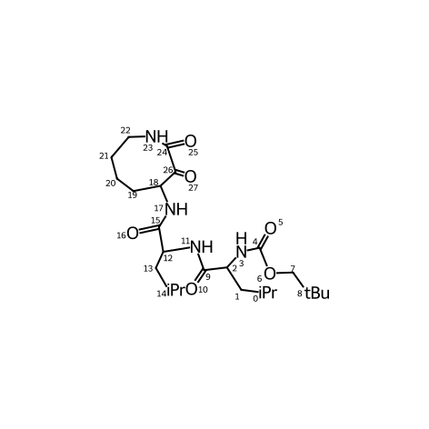 CC(C)CC(NC(=O)OCC(C)(C)C)C(=O)NC(CC(C)C)C(=O)NC1CCCCNC(=O)C1=O